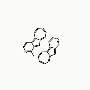 Cc1nccc2c3cccccc-3cc12.c1ccc2cc3cnccc3c-2cc1